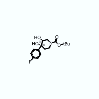 CC(C)(C)OC(=O)N1CC[C@](O)(c2ccc(F)cc2)[C@@H](O)C1